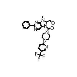 CN1c2nc(-c3ccccc3)ncc2N(C(=O)N2CCN(c3ccc(C(F)(F)F)cn3)CC2)C1C=O